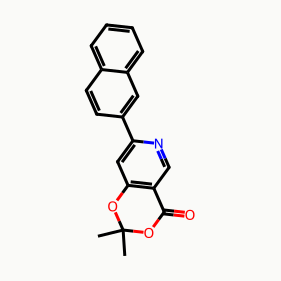 CC1(C)OC(=O)c2cnc(-c3ccc4ccccc4c3)cc2O1